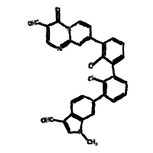 Cn1cc(C=O)c2ccc(-c3cccc(-c4cccc(-c5ccn6c(=O)c(C=O)cnc6c5)c4Cl)c3Cl)cc21